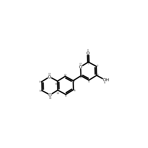 O=c1cc(O)cc(-c2ccc3c(c2)OC=CO3)o1